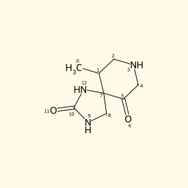 CC1CNCC(=O)C12[CH]NC(=O)N2